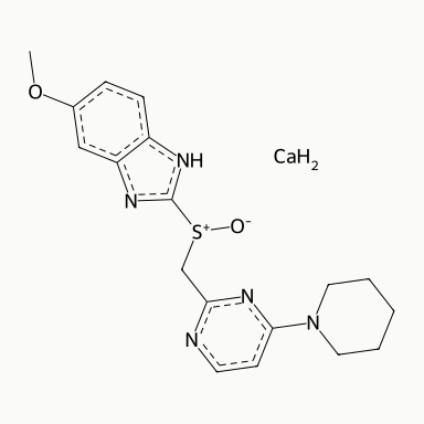 COc1ccc2[nH]c([S+]([O-])Cc3nccc(N4CCCCC4)n3)nc2c1.[CaH2]